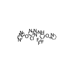 CN1CCCC[C@H]1COc1cc(Nc2nc3ncc(Oc4cnn5ccncc45)c(Cl)c3n2C)cc(C(F)(F)F)c1